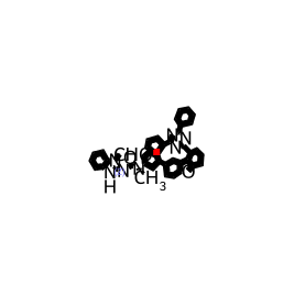 CN(C(=O)/N=c1/[nH]c2ccccc2n1C=O)c1cccc(-c2ccc3oc4cccc(-c5nc(-c6ccccc6)nc(-c6ccccc6)n5)c4c3c2)c1